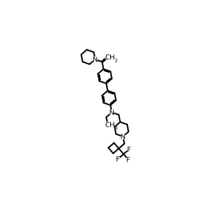 C=C(c1ccc(-c2ccc(N(CC)CC3CCN(CC4(C(F)(F)F)CCC4)CC3)cc2)cc1)N1CCCCC1